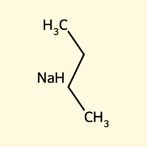 CCCC.[NaH]